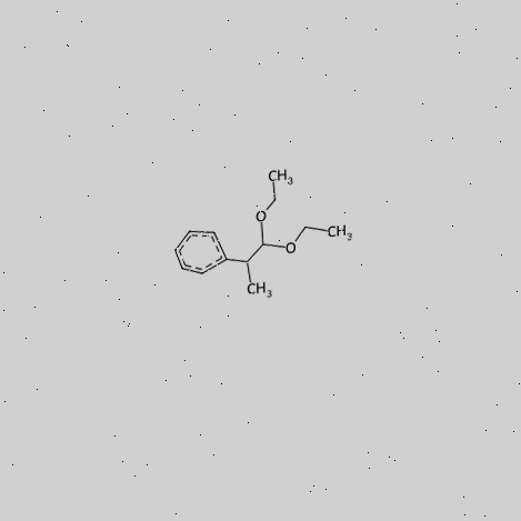 CCOC(OCC)C(C)c1ccccc1